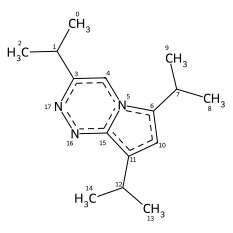 CC(C)c1cn2c(C(C)C)cc(C(C)C)c2nn1